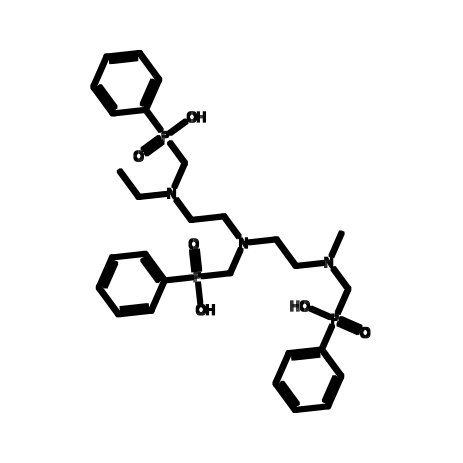 CCN(CCN(CCN(C)CP(=O)(O)c1ccccc1)CP(=O)(O)c1ccccc1)CP(=O)(O)c1ccccc1